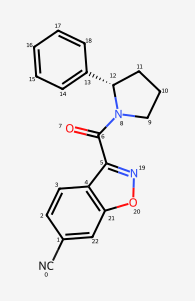 N#Cc1ccc2c(C(=O)N3CCC[C@H]3c3ccccc3)noc2c1